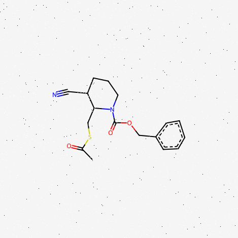 CC(=O)SCC1C(C#N)CCCN1C(=O)OCc1ccccc1